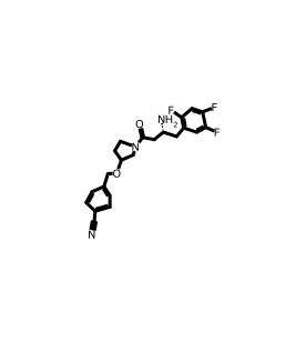 N#Cc1ccc(COC2CCN(C(=O)C[C@H](N)Cc3cc(F)c(F)cc3F)C2)cc1